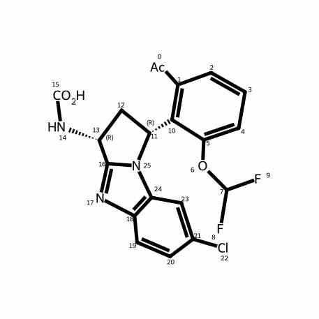 CC(=O)c1cccc(OC(F)F)c1[C@H]1C[C@@H](NC(=O)O)c2nc3ccc(Cl)cc3n21